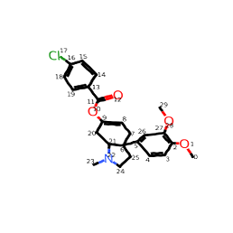 COc1ccc(C23CC=C(OC(=O)c4ccc(Cl)cc4)CC2N(C)CC3)cc1OC